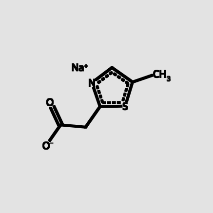 Cc1cnc(CC(=O)[O-])s1.[Na+]